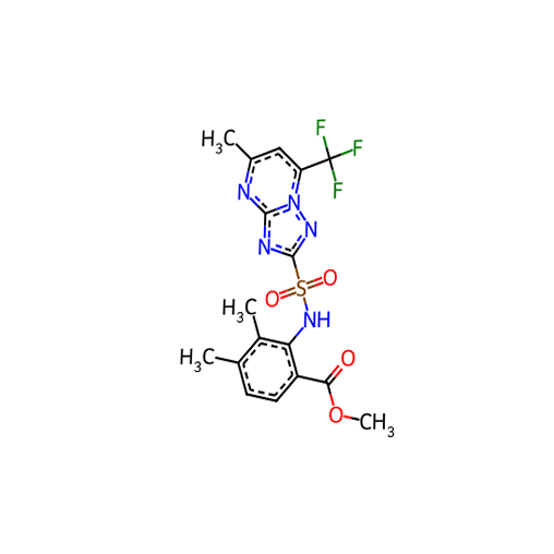 COC(=O)c1ccc(C)c(C)c1NS(=O)(=O)c1nc2nc(C)cc(C(F)(F)F)n2n1